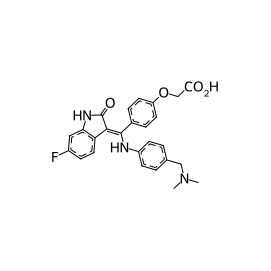 CN(C)Cc1ccc(NC(=C2C(=O)Nc3cc(F)ccc32)c2ccc(OCC(=O)O)cc2)cc1